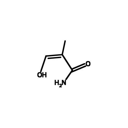 CC(=CO)C(N)=O